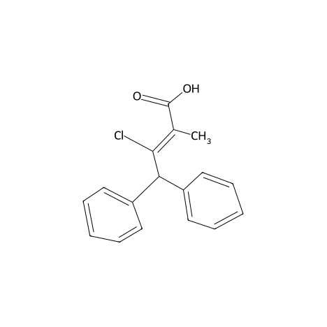 CC(C(=O)O)=C(Cl)C(c1ccccc1)c1ccccc1